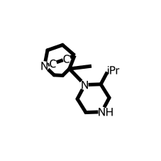 CC(C)C1CNCCN1C1(C)CCN2CCC1CC2